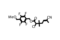 COCc1c(F)c(F)c(COC(=O)C(Cl)C(C)(C)CC=C(C)C#N)c(F)c1F